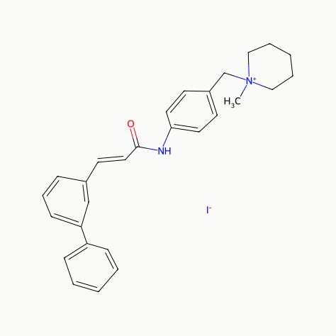 C[N+]1(Cc2ccc(NC(=O)/C=C/c3cccc(-c4ccccc4)c3)cc2)CCCCC1.[I-]